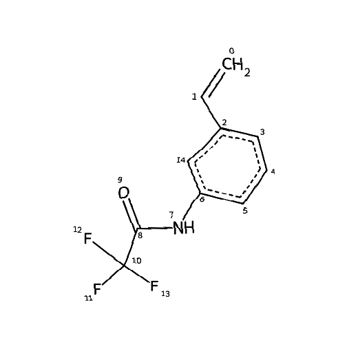 C=Cc1cccc(NC(=O)C(F)(F)F)c1